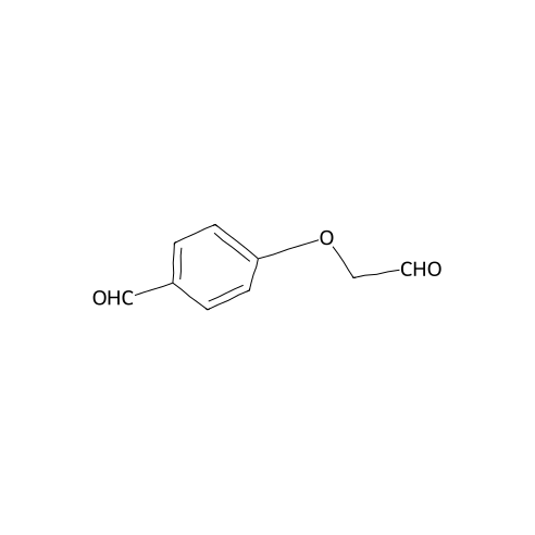 O=CCOc1ccc(C=O)cc1